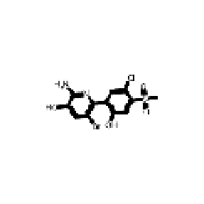 CS(=O)(=O)c1cc(O)c(-c2nc(N)c(O)cc2Br)cc1Cl